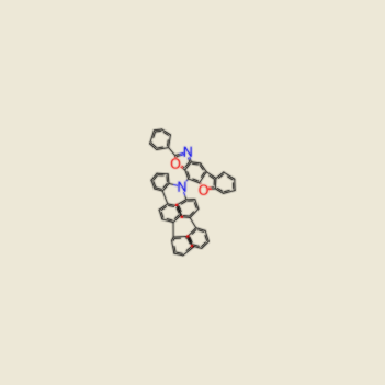 c1ccc(-c2ccc(-c3ccccc3N(c3ccc(-c4ccccc4)cc3)c3c4oc(-c5ccccc5)nc4cc4c3oc3ccccc34)cc2)cc1